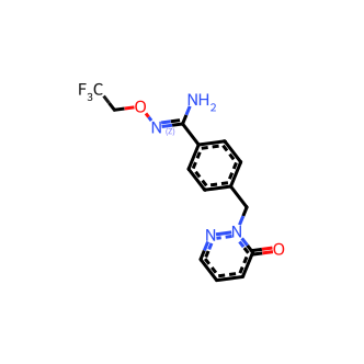 N/C(=N\OCC(F)(F)F)c1ccc(Cn2ncccc2=O)cc1